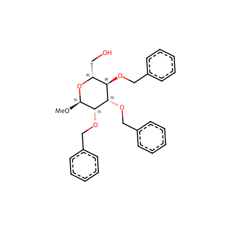 CO[C@H]1O[C@H](CO)[C@@H](OCc2ccccc2)[C@H](OCc2ccccc2)[C@@H]1OCc1ccccc1